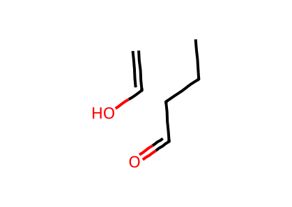 C=CO.CCCC=O